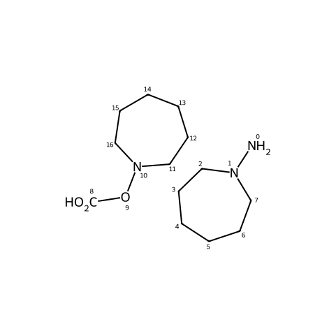 NN1CCCCCC1.O=C(O)ON1CCCCCC1